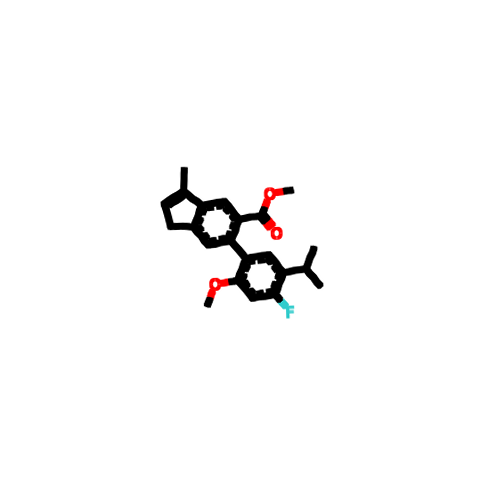 COC(=O)c1cc2c(cc1-c1cc(C(C)C)c(F)cc1OC)CC=C2C